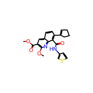 COC(=O)c1cc2ccc(C3=CCCC3)c(C(=O)Nc3ccsc3)c2nc1OC